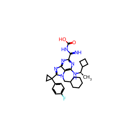 C[C@@H](Nc1nc(C(=N)NC(=O)O)nc2nc(C3(c4ccc(F)cc4)CC3)n(CC3CCCCC3)c12)C1CCC1